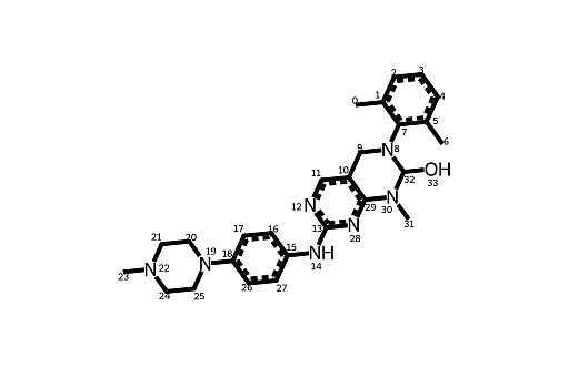 Cc1cccc(C)c1N1Cc2cnc(Nc3ccc(N4CCN(C)CC4)cc3)nc2N(C)C1O